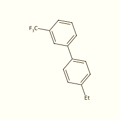 [CH2]Cc1ccc(-c2cccc(C(F)(F)F)c2)cc1